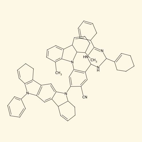 Cc1cccc2c1N(c1cc(N3c4cc5c6c(n(-c7ccccc7)c5cc4C4C=CCCC43)C=CCC6)c(C#N)cc1C1NC(C3C=CC=CC3)=NC(C3=CCCCC3)N1)C1C(C)CC=CC21